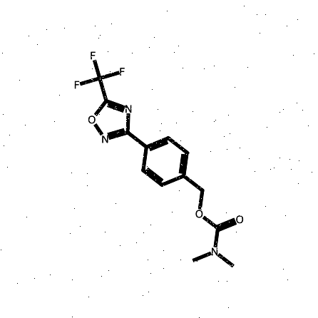 CN(C)C(=O)OCc1ccc(-c2noc(C(F)(F)F)n2)cc1